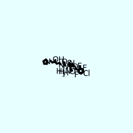 NC(=O)c1c(OCc2c(F)cc(Cl)c(F)c2F)nsc1NC(=O)NCCC(O)CCN1CCCC1